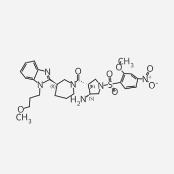 COCCCn1c([C@@H]2CCCN(C(=O)[C@@H]3CN(S(=O)(=O)c4ccc([N+](=O)[O-])cc4OC)C[C@H]3N)C2)nc2ccccc21